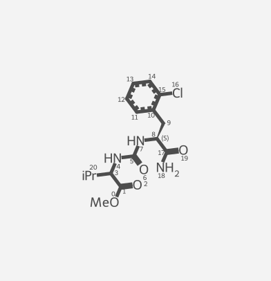 COC(=O)C(NC(=O)N[C@@H](Cc1ccccc1Cl)C(N)=O)C(C)C